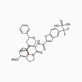 COc1ccc(CC(NC(=O)c2cc3cc(C(F)(F)P(=O)(O)O)ccc3s2)C(=O)N2CCCC2C(=O)N2CCOC(c3ccccc3)C2)cc1